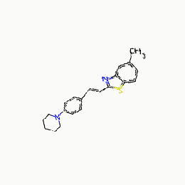 Cc1ccc2sc(C=Cc3ccc(N4CCCCC4)cc3)nc2c1